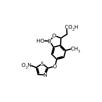 Cc1cc(Oc2ncc([N+](=O)[O-])s2)cc2c1C(CC(=O)O)OB2O